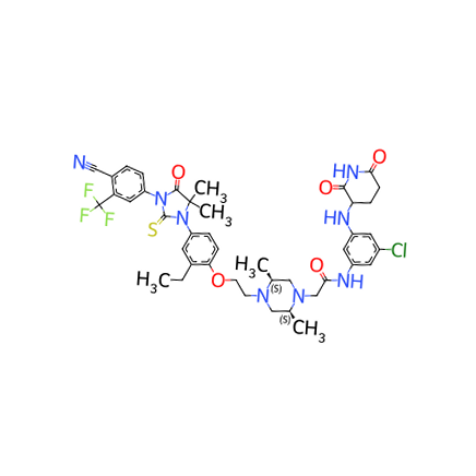 CCc1cc(N2C(=S)N(c3ccc(C#N)c(C(F)(F)F)c3)C(=O)C2(C)C)ccc1OCCN1C[C@H](C)N(CC(=O)Nc2cc(Cl)cc(NC3CCC(=O)NC3=O)c2)C[C@@H]1C